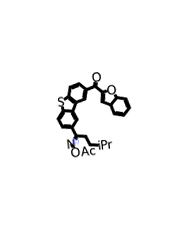 CC(=O)O/N=C(\CCC(C)C)c1ccc2sc3ccc(C(=O)C4=CC5C=CC=CC5O4)cc3c2c1